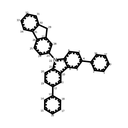 c1ccc(-c2ccc3c(c2)c2cc(-c4ccccc4)ccc2n3-c2ccc3c(c2)Cc2ccccc2-3)cc1